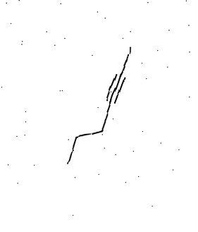 CCCC#CI